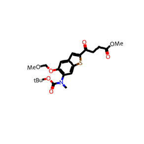 COCOc1cc2cc(C(=O)CCC(=O)OC)sc2cc1N(C)C(=O)OC(C)(C)C